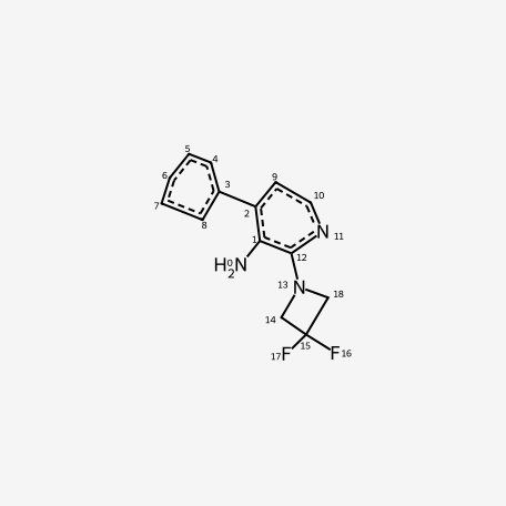 Nc1c(-c2ccccc2)ccnc1N1CC(F)(F)C1